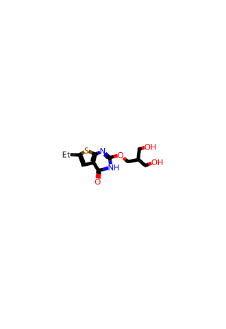 CCc1cc2c(=O)[nH]c(OCC(CO)CO)nc2s1